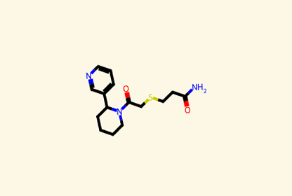 NC(=O)CCSCC(=O)N1CCCCC1c1cccnc1